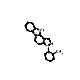 Cc1ccccc1-n1ncc2c3[nH]c4ccccc4c3ccc21